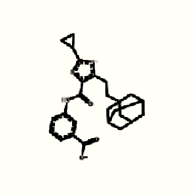 O=C(O)c1cccc(NC(=O)c2nc(C3CC3)[nH]c2CCC23CC4CC(CC(C4)C2)C3)c1